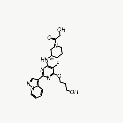 O=C(CO)N1CCC[C@@H](Nc2nc(-c3cnn4ccccc34)nc(OCCCO)c2F)C1